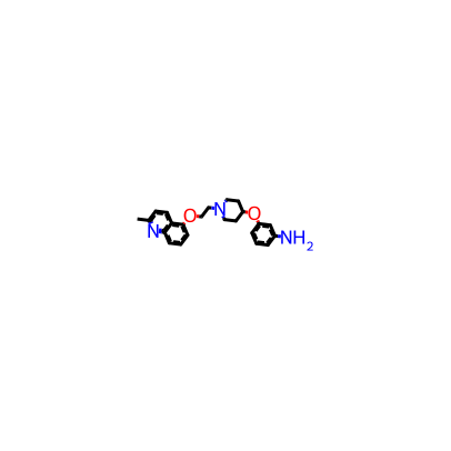 Cc1ccc2c(OCCN3CCC(Oc4cccc(N)c4)CC3)cccc2n1